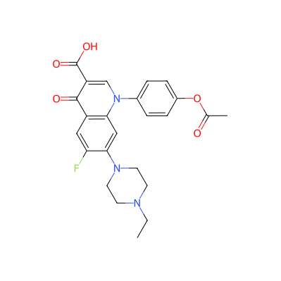 CCN1CCN(c2cc3c(cc2F)c(=O)c(C(=O)O)cn3-c2ccc(OC(C)=O)cc2)CC1